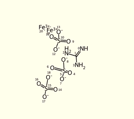 N=C(N)N.O=S(=O)([O-])[O-].O=S(=O)([O-])[O-].O=S(=O)([O-])[O-].[Fe+3].[Fe+3]